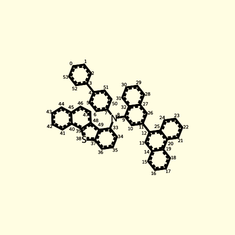 c1ccc(-c2ccc(N(c3cc(-c4cc5ccccc5c5ccccc45)cc4ccccc34)c3cccc4sc5c6ccccc6ccc5c34)cc2)cc1